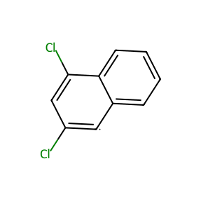 Clc1[c]c2ccccc2c(Cl)c1